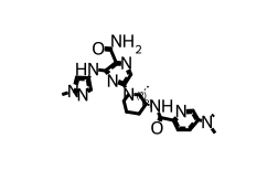 C[C@@H]1[C@H](NC(=O)c2ccc(N(C)C)cn2)CCCN1c1cnc(C(N)=O)c(Nc2cnn(C)c2)n1